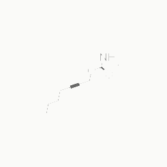 CCCCC#CCOC(N)=O